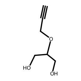 C#CCOC(CO)CO